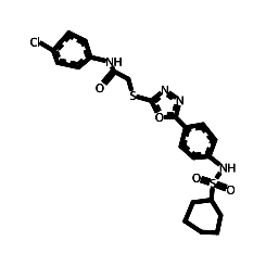 O=C(CSc1nnc(-c2ccc(NS(=O)(=O)C3CCCCC3)cc2)o1)Nc1ccc(Cl)cc1